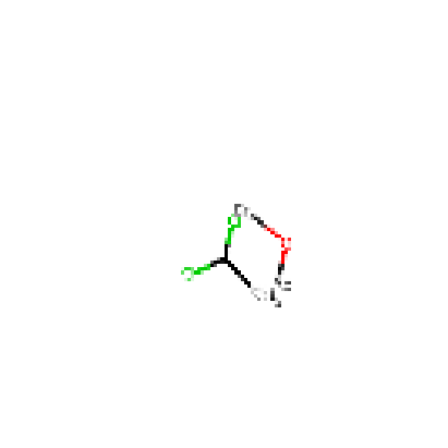 CC(Cl)Cl.CCOC(C)=O